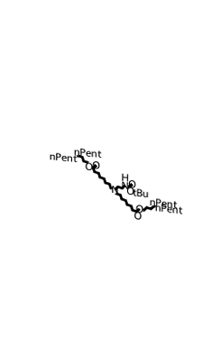 CCCCCC(CCCCC)CCCOC(=O)CCCCCCCN(CCCCCCCC(=O)OCCCC(CCCCC)CCCCC)CCNC(=O)OC(C)(C)C